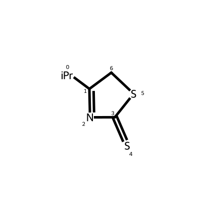 CC(C)C1=NC(=S)SC1